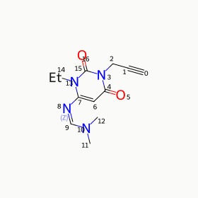 C#CCn1c(=O)cc(/N=C\N(C)C)n(CC)c1=O